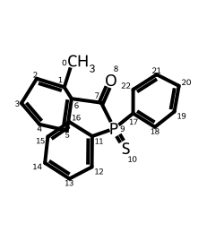 Cc1ccccc1C(=O)P(=S)(c1ccccc1)c1ccccc1